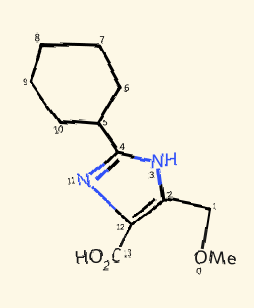 COCc1[nH]c(C2CCCCC2)nc1C(=O)O